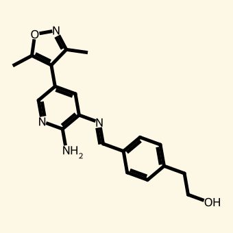 Cc1noc(C)c1-c1cnc(N)c(/N=C/c2ccc(CCO)cc2)c1